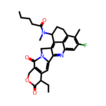 CCCCC(=O)N(C)C1CCc2c(C)c(F)cc3nc4c(c1c23)Cn1c-4cc2c(c1=O)COC(=O)C2CC